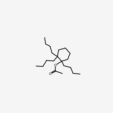 CCCCC1(CCCC)CCCCC1(CCCC)OC(C)=O